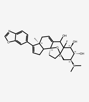 CN(C)[C@H]1C[C@@]23CC[C@@]4(O2)C(=CC[C@]2(C)C(c5ccc6ncoc6c5)=CCC24)C(O)C3(F)[C@@H](O)[C@@H]1O